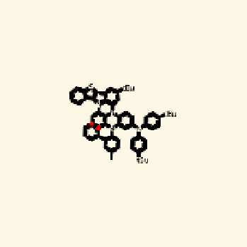 Cc1ccc(N2c3cc(N(c4ccc(C(C)(C)C)cc4)c4ccc(C(C)(C)C)cc4)ccc3B3c4c2cc(C)cc4-n2c4c3cc(C(C)(C)C)cc4c3sc4ccccc4c32)c(-c2ccccc2)c1